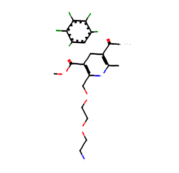 COC(=O)C1=C(C)NC(COCCOCCN)=C(C(=O)OC(C)C)[C@@H]1c1c(F)c(F)c(F)c(F)c1F